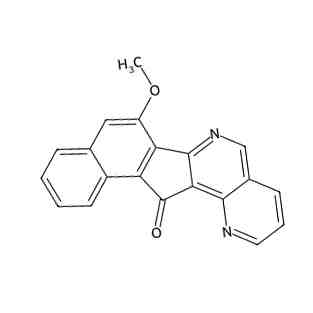 COc1cc2ccccc2c2c1-c1ncc3cccnc3c1C2=O